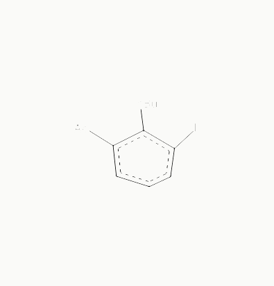 CCC[CH]c1c(F)cccc1C(C)=O